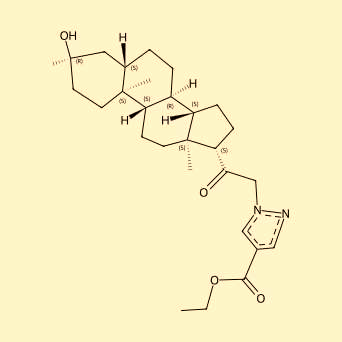 CCOC(=O)c1cnn(CC(=O)[C@H]2CC[C@H]3[C@@H]4CC[C@H]5C[C@](C)(O)CC[C@]5(C)[C@H]4CC[C@]23C)c1